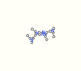 c1ccc(-c2ccc3c(c2)c2cc(-c4ccc5c(c4)c4cc(-c6ccccc6)ccc4n5-c4ncc5c(n4)-c4cccc6c(-n7c8ccc(-c9ccccc9)cc8c8cc(-c9ccc%10c(c9)c9cc(-c%11ccccc%11)ccc9n%10-c9ccccc9)ccc87)ccc-5c46)ccc2n3-c2ccccc2)cc1